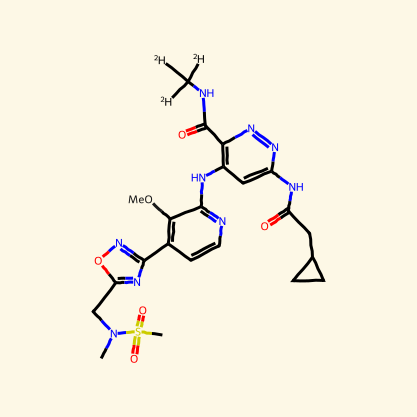 [2H]C([2H])([2H])NC(=O)c1nnc(NC(=O)CC2CC2)cc1Nc1nccc(-c2noc(CN(C)S(C)(=O)=O)n2)c1OC